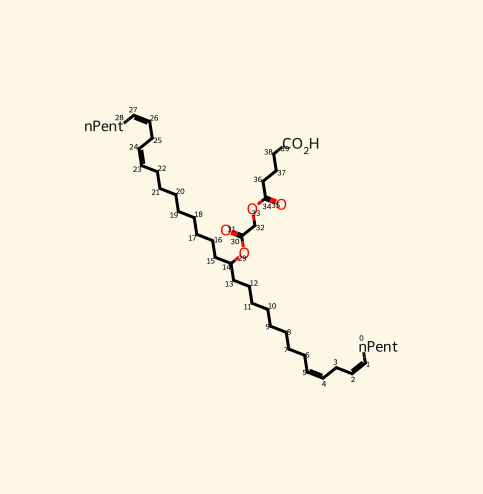 CCCCC/C=C\C/C=C\CCCCCCCCC(CCCCCCCC/C=C\C/C=C\CCCCC)OC(=O)COC(=O)CCCC(=O)O